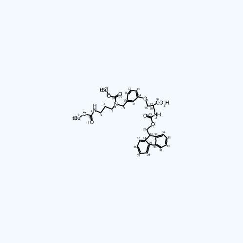 CC(C)(C)OC(=O)NCCCN(Cc1cccc(OC[C@H](NC(=O)OCC2c3ccccc3-c3ccccc32)C(=O)O)c1)C(=O)OC(C)(C)C